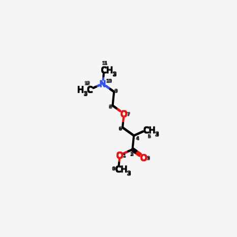 COC(=O)C(C)COCCN(C)C